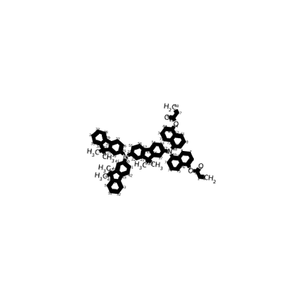 C=CC(=O)Oc1cccc2c(N(c3ccc4c(c3)C(C)(C)c3cc(N(c5ccc6c(c5)C(C)(C)c5ccccc5-6)c5ccc6c(c5)C(C)(C)c5ccccc5-6)ccc3-4)c3cccc4c(OC(=O)C=C)cccc34)cccc12